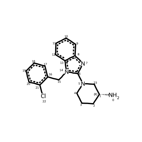 N[C@@H]1CCCN(c2nc3ccccc3n2Cc2ccccc2Cl)C1